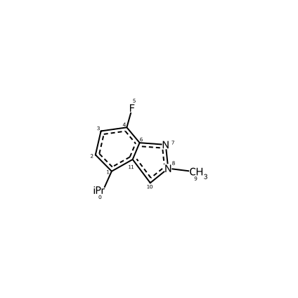 CC(C)c1ccc(F)c2nn(C)cc12